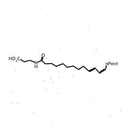 CCCCC/C=C\C=C\CCCCCCCCC(=O)NCCC(=O)O